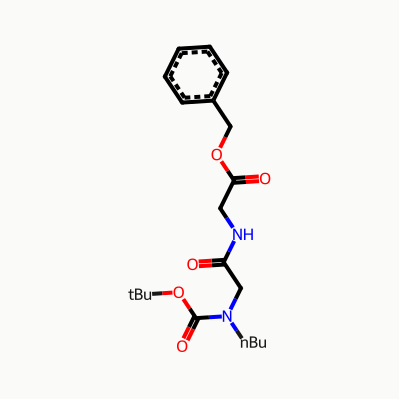 CCCCN(CC(=O)NCC(=O)OCc1ccccc1)C(=O)OC(C)(C)C